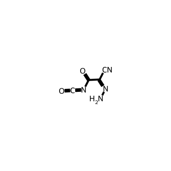 N#CC(=NN)C(=O)N=C=O